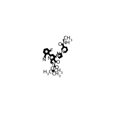 CCNC(=O)C1CCCN(c2ccn(-c3cc(-c4c(F)cccc4C#N)nc4c3C(=O)N(C(=O)OC(C)(C)C)C4)n2)C1